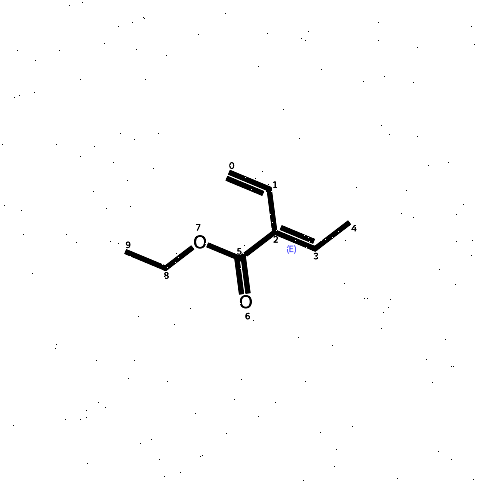 C=C/C(=C\C)C(=O)OCC